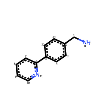 [NH]Cc1ccc(-c2ccccn2)cc1